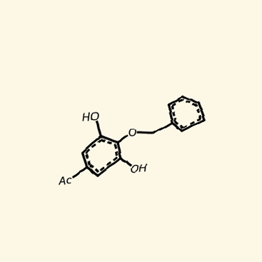 CC(=O)c1cc(O)c(OCc2ccccc2)c(O)c1